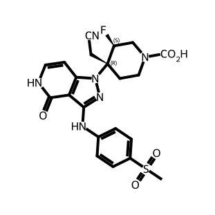 CS(=O)(=O)c1ccc(Nc2nn([C@@]3(CC#N)CCN(C(=O)O)C[C@@H]3F)c3cc[nH]c(=O)c23)cc1